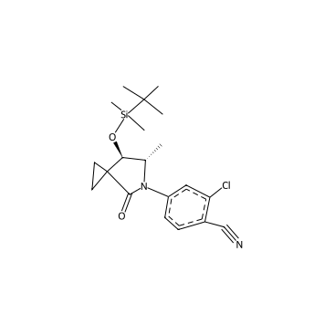 C[C@H]1[C@H](O[Si](C)(C)C(C)(C)C)C2(CC2)C(=O)N1c1ccc(C#N)c(Cl)c1